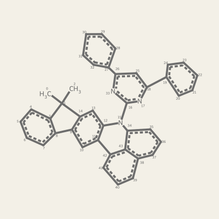 CC1(C)c2ccccc2-c2cc3c(cc21)N(c1nc(-c2ccccc2)cc(-c2ccccc2)n1)c1cccc2cccc-3c12